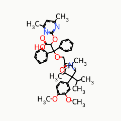 COc1ccc(C(CN(C)C(=O)COC(c2ccccc2)(c2ccccc2)C(Oc2nc(C)cc(C)n2)C(=O)O)(C(C)C)C(C)C)cc1OC